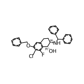 O[C@@H]1c2c(cc(OCc3ccccc3)c(Cl)c2F)CC[C@H]1NC(c1ccccc1)c1ccccc1